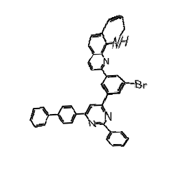 Brc1cc(-c2cc(-c3ccc(-c4ccccc4)cc3)nc(-c3ccccc3)n2)cc(-c2ccc3ccc4c(c3n2)NCC=C4)c1